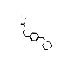 CC(C)(C)OC(=O)N[C@@H](Cc1ccc(CN2CCOCC2)cc1)C(=O)O